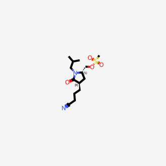 CC(C)CN1C(=O)[C@H](CCCC#N)C[C@H]1COS(C)(=O)=O